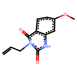 C=CCn1c(=O)[nH]c2cc(OC)ccc2c1=O